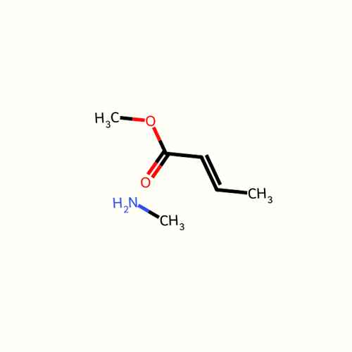 CC=CC(=O)OC.CN